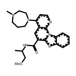 COCC(C)NC(=O)c1cc2c(N3CCCN(C)CC3)ccnc2n2c1nc1ccccc12